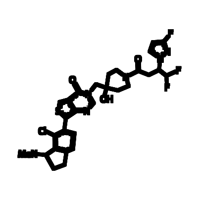 CNC1CCc2ccc(-c3scc4c(=O)n(CC5(O)CCN(C(=O)CC(C(F)F)n6ccc(F)n6)CC5)cnc34)c(Cl)c21